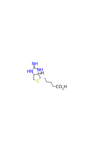 N=C1NC2CS[C@@H](CCCCC(=O)O)[C@H]2N1